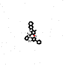 Cc1cc(C)c2c(c1C1=[N+](C)C3C=CC=CC3N1c1c(C(C)C)cc(C3C=CC=CC3)cc1C(C)C)SC1C=C3CCC=CC3=CC21